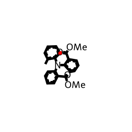 COC(=O)c1ccccc1N(c1ccccc1C)c1ccccc1C(=O)OC